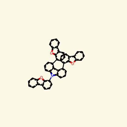 c1ccc2c(c1)oc1c(-c3cccc4c3c3c(-c5cccc6c5oc5ccccc56)cccc3n4-c3cccc4c3oc3ccccc34)cccc12